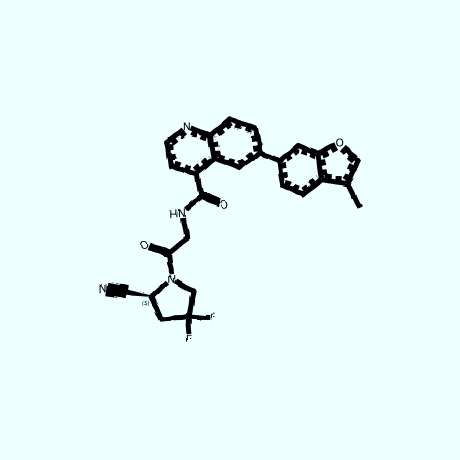 Cc1coc2cc(-c3ccc4nccc(C(=O)NCC(=O)N5CC(F)(F)C[C@H]5C#N)c4c3)ccc12